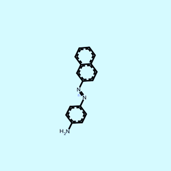 Nc1ccc(/N=N/c2ccc3ccccc3c2)cc1